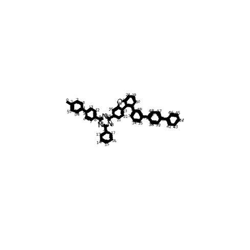 Cc1ccc(-c2ccc(-c3nc(-c4ccccc4)nc(-c4ccc5c(c4)oc4cccc(-c6cccc(-c7ccc(-c8ccccc8)cc7)c6)c45)n3)cc2)cc1